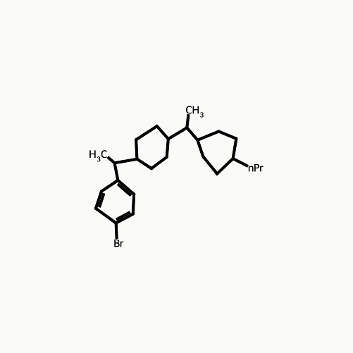 CCCC1CCC(C(C)C2CCC(C(C)c3ccc(Br)cc3)CC2)CC1